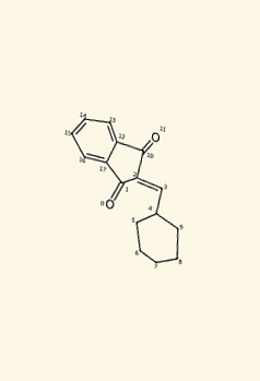 O=C1C(=CC2CCCCC2)C(=O)c2ccccc21